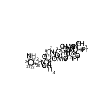 CC[C@H](C)[C@@H]([C@@H](CC(=O)N1CCC[C@H]1[C@H](OC)[C@@H](C)C(=O)N(O)CCc1cccc(N)c1)OC)N(C)C(=O)[C@@H](NC(=O)[C@H](C(C)C)N(C)C)C(C)C